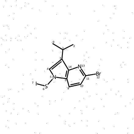 CC(C)c1cn(SI)c2ccc(Br)nc12